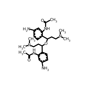 CC(=O)Nc1cc(N)ccc1C(CCN(C)C)OC(CCN(C)C)c1ccc(N)cc1NC(C)=O